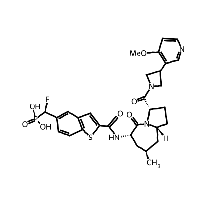 COc1ccncc1C1CN(C(=O)[C@@H]2CC[C@@H]3C[C@@H](C)C[C@H](NC(=O)c4cc5cc([C@H](F)P(=O)(O)O)ccc5s4)C(=O)N32)C1